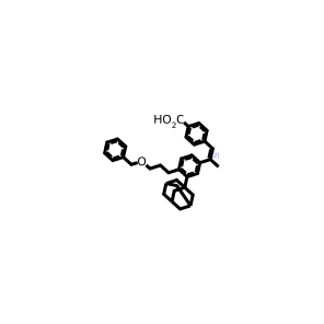 C/C(=C/c1ccc(C(=O)O)cc1)c1ccc(CCCOCc2ccccc2)c(C23CC4CC(CC(C4)C2)C3)c1